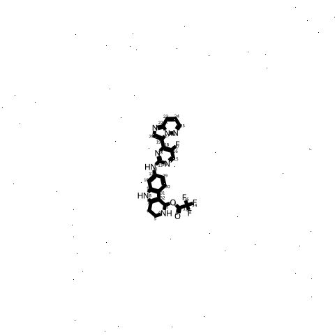 O=C(OC1NCCc2[nH]c3cc(Nc4ncc(F)c(-c5cnc6cccnn56)n4)ccc3c21)C(F)(F)F